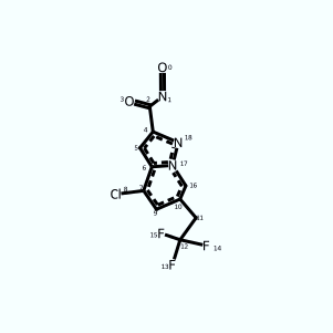 O=NC(=O)c1cc2c(Cl)cc(CC(F)(F)F)cn2n1